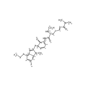 CN(C)C(=O)/C=C/CC[C@H](NC(=O)O)C(=O)Nc1cccn(Cc2nc3c(CCC(F)(F)F)cc(F)cc3n2C)c1=O